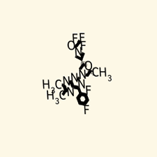 Cc1nc2nc(N3C[C@@H](C)O[C@@H](C4CN(C(=O)C(F)(F)F)C4)C3)nc(-c3ccc(F)cc3F)c2nc1C